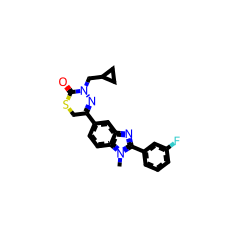 Cn1c(-c2cccc(F)c2)nc2cc(C3=NN(CC4CC4)C(=O)SC3)ccc21